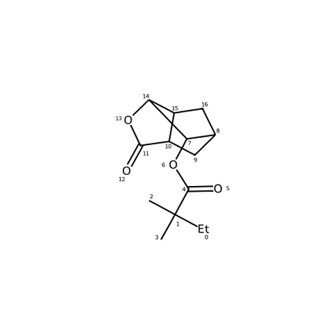 CCC(C)(C)C(=O)OC1C2CC3C(=O)OC1C3C2